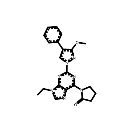 CCn1cnc2c(N3CCCC3=O)nc(-n3cc(-c4ccccc4)c(OC)n3)nc21